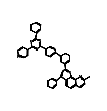 Cc1ccc2ccc3c(-c4ccccc4)cc(C4=CCCC(c5ccc(-c6nc(-c7ccccc7)nc(-c7ccncc7)n6)cc5)=C4)nc3c2n1